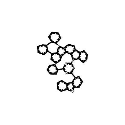 c1ccc(-c2nc(-c3cccc4oc5ccccc5c34)nc(-n3c4ccccc4c4ccc5c(c6cccc7c6n5-c5ccccc5-c5ccccc5-7)c43)n2)cc1